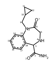 NC(=O)C1N[C]C(=O)N(CC2CC2)c2ccccc21